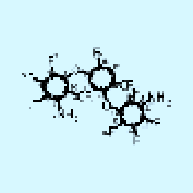 Nc1c(F)c(F)c(F)c(Oc2cc(Oc3c(F)c(F)c(F)c(N)c3C(F)(F)F)c(C(F)(F)F)cc2F)c1C(F)(F)F